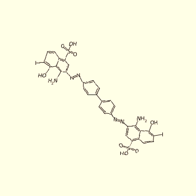 Nc1c(/N=N/c2ccc(-c3ccc(/N=N/c4cc(S(=O)(=O)O)c5ccc(I)c(O)c5c4N)cc3)cc2)cc(S(=O)(=O)O)c2ccc(I)c(O)c12